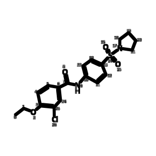 CCOc1ccc(C(=O)Nc2ccc(S(=O)(=O)N3CCCC3)cc2)cc1Cl